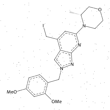 COc1ccc(Cn2cc3c(CI)cc(N4CCOC[C@H]4C)nc3n2)c(OC)c1